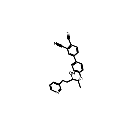 CC(Oc1ccc(-c2ccc(C#N)c(C#N)c2)cc1)[C@H](O)CCc1cccnc1